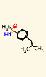 CC(C)Cc1ccc(S(C)(=N)=O)cc1